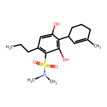 CCCc1cc(O)c(C2C=C(C)CCC2)c(O)c1S(=O)(=O)N(C)C